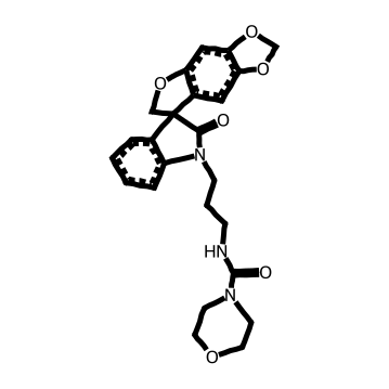 O=C(NCCCN1C(=O)C2(COc3cc4c(cc32)OCO4)c2ccccc21)N1CCOCC1